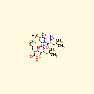 CSCCC(NC(=O)C(CC(C)C)NC(=O)C(CC(C)C)NC(=O)C(N)CC(C)C)C(=O)O